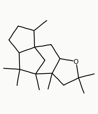 CC1CCC2C13CC1OC(C)(C)CC1(C)C(C)(C3)C2(C)C